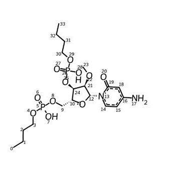 CCCCOP(=O)(O)OC[C@H]1O[C@@H](n2ccc(N)cc2=O)[C@H](OC)[C@@H]1OP(=O)(O)OCCCC